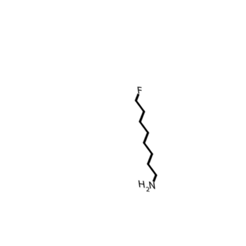 NCCCCCCCCF